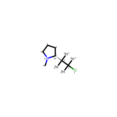 [2H]C([2H])(Cl)C([2H])([2H])[C@H]1CCCN1C